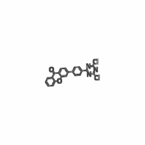 O=c1c2ccccc2oc2cc(-c3ccc(-c4nc(Cl)nc(Cl)n4)cc3)ccc12